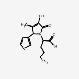 CCCCC(C(=O)O)N1C(=O)C(O)=C(C)C1c1ccsc1